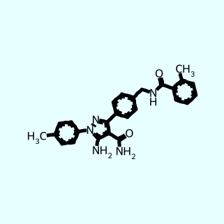 Cc1ccc(-n2nc(-c3ccc(CNC(=O)c4ccccc4C)cc3)c(C(N)=O)c2N)cc1